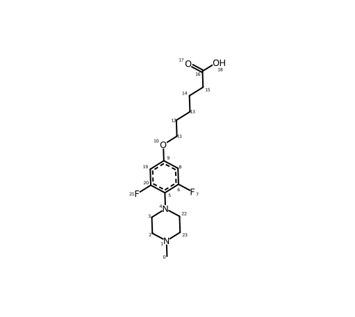 CN1CCN(c2c(F)cc(OCCCCCC(=O)O)cc2F)CC1